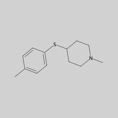 Cc1ccc(SC2CCN(C)CC2)cc1